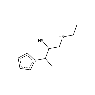 CCNCC(S)C(C)n1cccc1